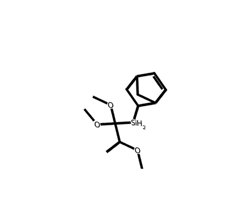 COC(C)C(OC)(OC)[SiH2]C1CC2C=CC1C2